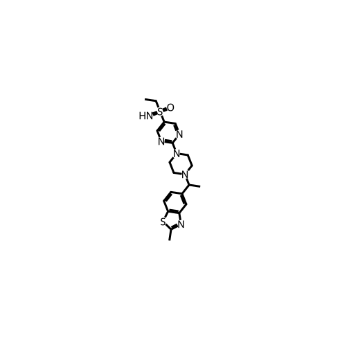 CCS(=N)(=O)c1cnc(N2CCN(C(C)c3ccc4sc(C)nc4c3)CC2)nc1